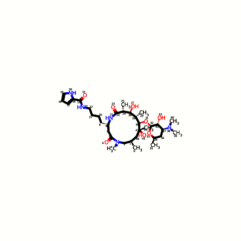 C[C@H]1CN(C)C(=O)C[C@H](CCCCNC(=O)c2ccc[nH]2)NC(=O)[C@H](C)[C@@H](O)[C@H](C)[C@@H](O[C@@H]2O[C@H](C)C[C@H](N(C)C)[C@H]2O)[C@](C)(O)C1